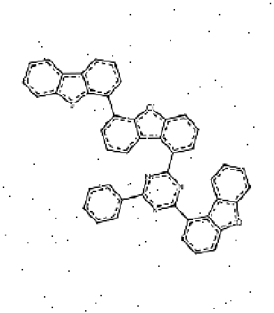 c1ccc(-c2nc(-c3cccc4oc5ccccc5c34)nc(-c3cccc4oc5c(-c6cccc7c6sc6ccccc67)cccc5c34)n2)cc1